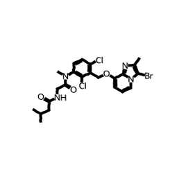 Cc1nc2c(OCc3c(Cl)ccc(N(C)C(=O)CNC(=O)CC(C)C)c3Cl)cccn2c1Br